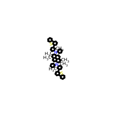 Cc1ccc(-c2cccc3c2sc2ccccc23)c(C)c1N(c1ccccc1)c1cc(C)c2ccc3c(N(c4ccccc4)c4c(C)ccc(-c5cccc6c5sc5ccccc56)c4C)cc(C)c4ccc1c2c43